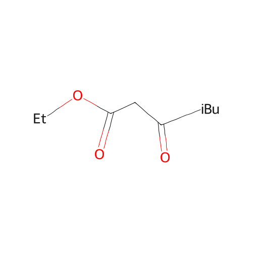 CCOC(=O)CC(=O)C(C)CC